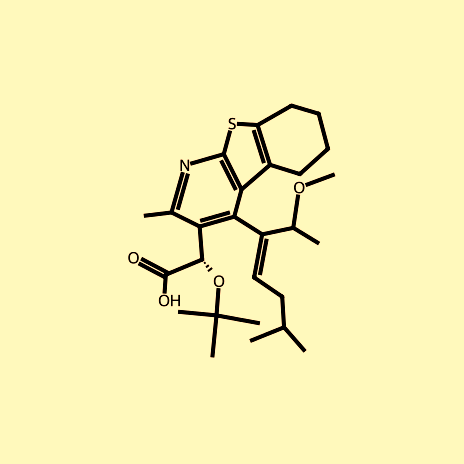 COC(C)/C(=C\CC(C)C)c1c([C@H](OC(C)(C)C)C(=O)O)c(C)nc2sc3c(c12)CCCC3